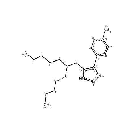 CCCCCN(CCCCC)Cc1[nH]nnc1-c1ccc(C)cc1